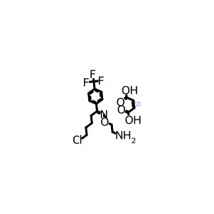 NCCON=C(CCCCCl)c1ccc(C(F)(F)F)cc1.O=C(O)/C=C\C(=O)O